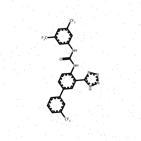 O=C(Nc1cc(C(F)(F)F)cc(C(F)(F)F)c1)Nc1ccc(-c2cccc(C(F)(F)F)c2)cc1-c1nnn[nH]1